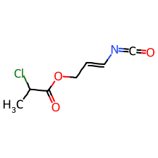 CC(Cl)C(=O)OCC=CN=C=O